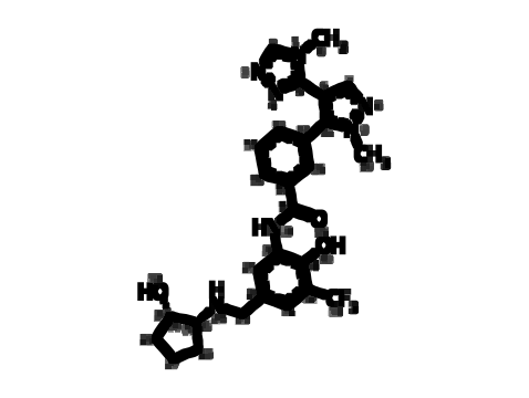 Cn1cnnc1-c1cnn(C)c1-c1cccc(C(=O)Nc2cc(CN[C@H]3CCC[C@@H]3O)cc(C(F)(F)F)c2O)c1